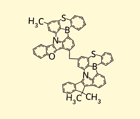 Cc1cc2c3c(c1)-n1c4c(ccc(Cc5cc6c7c(c5)-n5c8c(c9cccc(c95)B7c5ccccc5S6)C(C)(C)c5ccccc5-8)c4c4oc5ccccc5c41)B3c1ccccc1S2